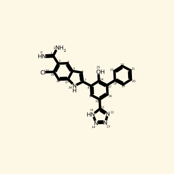 N=C(N)c1cc2cc(-c3cc(-c4nnn[nH]4)cc(-c4ccccc4)c3O)[nH]c2cc1Cl